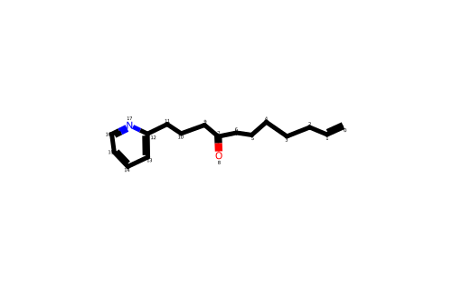 C=CCCCCCC(=O)CCCc1ccccn1